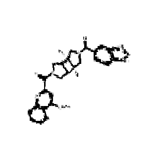 COc1cc(C(=O)N2CC3C(C2)[C@@H]2CN(C(=O)c4ccc5[nH]nnc5c4)C[C@H]32)nc2ccccc12